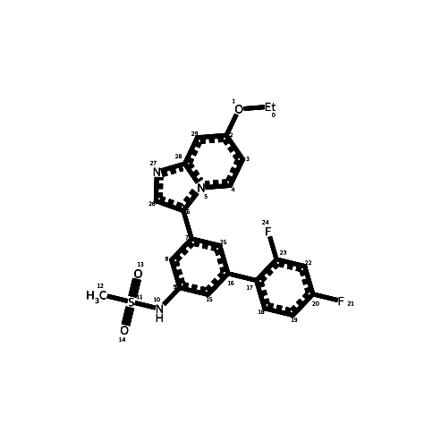 CCOc1ccn2c(-c3cc(NS(C)(=O)=O)cc(-c4ccc(F)cc4F)c3)cnc2c1